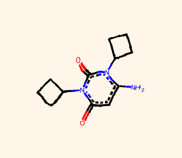 Nc1cc(=O)n(C2CCC2)c(=O)n1C1CCC1